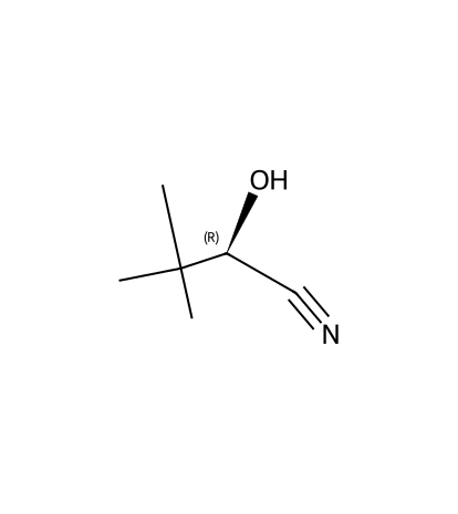 CC(C)(C)[C@@H](O)C#N